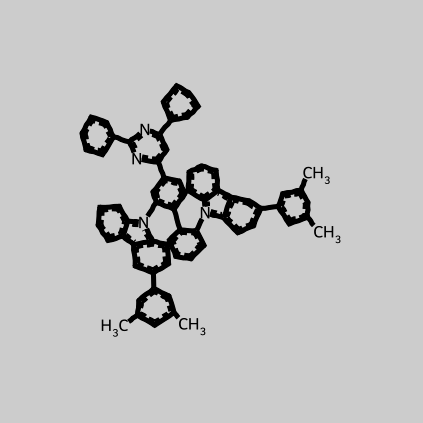 Cc1cc(C)cc(-c2ccc3c(c2)c2ccccc2n3-c2ccccc2-c2ccc(-c3cc(-c4ccccc4)nc(-c4ccccc4)n3)cc2-n2c3ccccc3c3cc(-c4cc(C)cc(C)c4)ccc32)c1